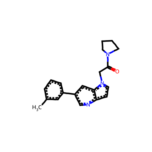 Cc1cccc(-c2cnc3ccn(CC(=O)N4CCCC4)c3c2)c1